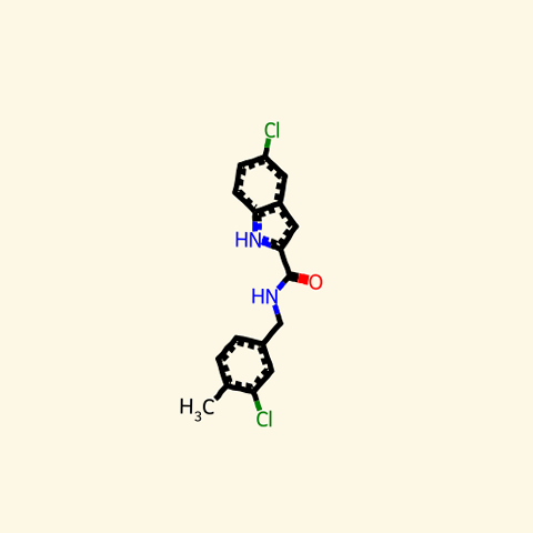 Cc1ccc(CNC(=O)c2cc3cc(Cl)ccc3[nH]2)cc1Cl